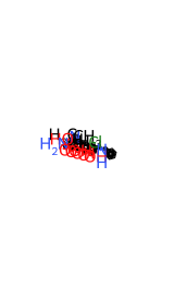 CN(C)[C@@H]1C(O)=C(C(N)=O)C(=O)[C@@]2(O)C(O)=C3C(=O)c4c(O)cc(CNCc5ccccc5)c(Cl)c4C[C@H]3C[C@@H]12